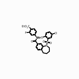 CCOC(=O)c1ccc(NC(=O)c2ccc3c(c2)N(S(=O)(=O)c2cc(Cl)ccc2OC)CCCC3)cc1F